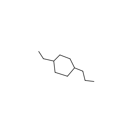 CCCC1CCC(CC)CC1